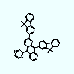 CC1(C)c2ccccc2-c2ccc(-c3ccc4c(-c5cnccn5)c5ccccc5c(-c5ccc6c(c5)C(C)(C)c5ccccc5-6)c4c3)cc21